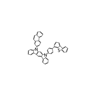 c1ccc2c(c1)ccc1cc(-n3c4ccccc4c4cc5c6ccccc6n(-c6ccc(-c7cccc8c7sc7ccccc78)cc6)c5cc43)ccc12